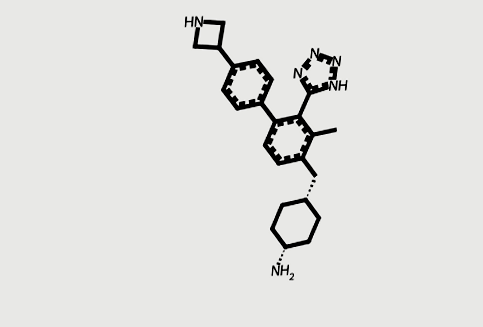 Cc1c(C[C@H]2CC[C@@H](N)CC2)ccc(-c2ccc(C3CNC3)cc2)c1-c1nnn[nH]1